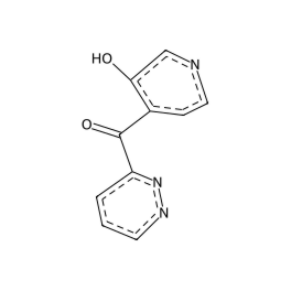 O=C(c1cccnn1)c1ccncc1O